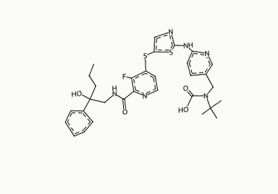 CCCC(O)(CNC(=O)c1nccc(Sc2cnc(Nc3ccc(CN(C(=O)O)C(C)(C)C)cn3)s2)c1F)c1ccccc1